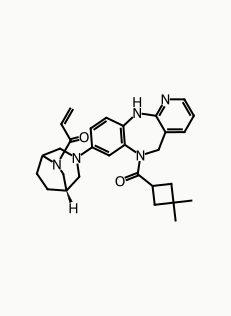 C=CC(=O)N1C[C@H]2CCC1CN(c1ccc3c(c1)N(C(=O)C1CC(C)(C)C1)Cc1cccnc1N3)C2